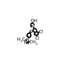 Cc1nnc(C)n1-c1ccc(O[C@H]2c3cc(Cl)cc(Cl)c3C[C@@H]2N2CCC(O)C2)cc1